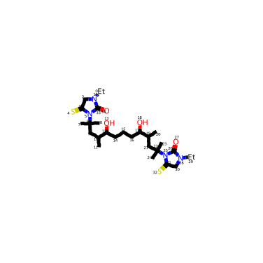 CCN1CC(=S)N(C(C)(C)CC(C)C(O)CCCC(O)C(C)CC(C)(C)N2C(=O)N(CC)CC2=S)C1=O